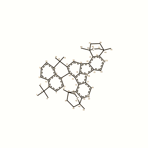 CC(C)(C)c1ccc2c3c(cccc13)C(C)(C)c1cc3c4c5c(ncc4n4c6cnc7c(c6c(c1-2)c34)C1(C)CCC7(C)CC1)C1(C)CCC5(C)CC1